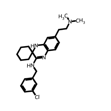 CN(C)CCc1ccc2c(c1)NC1(CCCCC1)C(NCc1cccc(Cl)c1)=N2